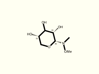 CON(C)[C@@H]1OC[C@H](O)C(O)[C@@H]1O